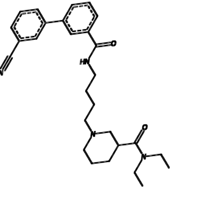 CCN(CC)C(=O)C1CCCN(CCCCNC(=O)c2cccc(-c3cccc(C#N)c3)c2)C1